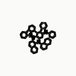 c1ccc(-n2c3ccccc3c3c4c5c(cc32)N(c2cccc3ccccc23)c2c(ccc3ccccc23)B5n2c3ccccc3c3cccc-4c32)cc1